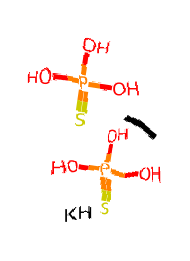 CC.OP(O)(O)=S.OP(O)(O)=S.[KH]